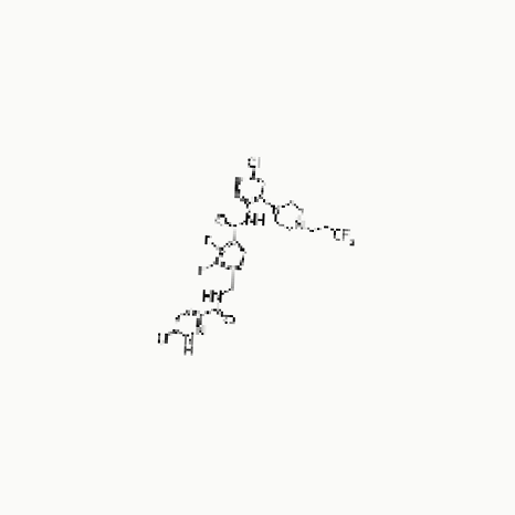 O=C(NCc1ccc(C(=O)Nc2ccc(Cl)cc2N2CCN(CCC(F)(F)F)CC2)c(F)c1F)c1ccc(=O)[nH]n1